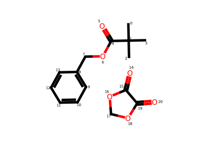 CC(C)(C)C(=O)OCc1ccccc1.O=C1OCOC1=O